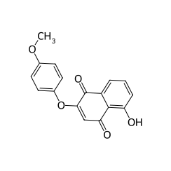 COc1ccc(OC2=CC(=O)c3c(O)cccc3C2=O)cc1